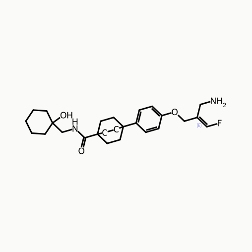 NC/C(=C\F)COc1ccc(C23CCC(C(=O)NCC4(O)CCCCC4)(CC2)CC3)cc1